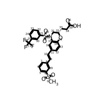 CS(=O)(=O)c1cccc(/C=C/c2ccc3c(c2)N(S(=O)(=O)c2cccc(C(F)(F)F)c2)C[C@H](CCC(=O)O)O3)c1